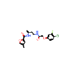 C=C(CCNC(=O)COc1ccc(Cl)c(F)c1)NC(=O)c1cc(C)co1